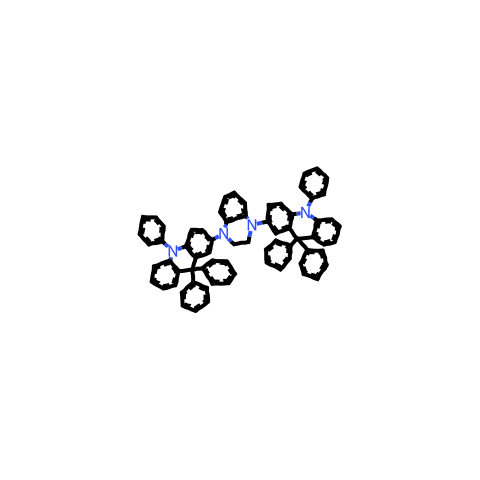 c1ccc(N2c3ccccc3C(c3ccccc3)(c3ccccc3)c3cc(N4CCN(c5ccc6c(c5)C(c5ccccc5)(c5ccccc5)c5ccccc5N6c5ccccc5)c5ccccc54)ccc32)cc1